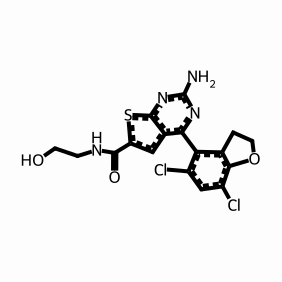 Nc1nc(-c2c(Cl)cc(Cl)c3c2CCO3)c2cc(C(=O)NCCO)sc2n1